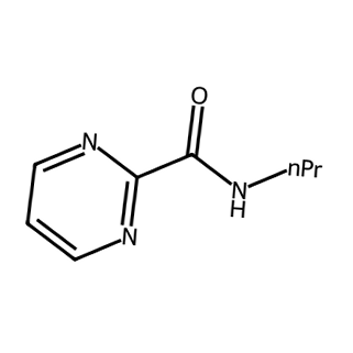 CCCNC(=O)c1ncccn1